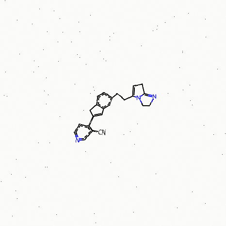 N#Cc1cnccc1C1=Cc2cc(CCC3=CCC4=NCCN34)ccc2C1